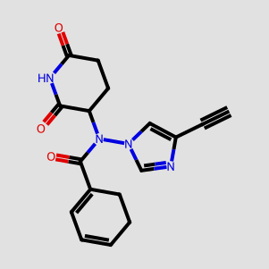 C#Cc1cn(N(C(=O)C2=CC=CCC2)C2CCC(=O)NC2=O)cn1